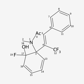 CC(=O)N(C)C1(C(=Cc2ccccc2)C(F)(F)F)C=CC=CC1(O)F